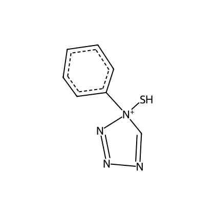 S[N+]1(c2ccccc2)C=NN=N1